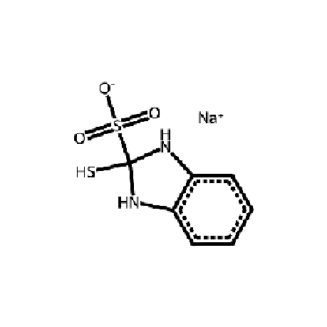 O=S(=O)([O-])C1(S)Nc2ccccc2N1.[Na+]